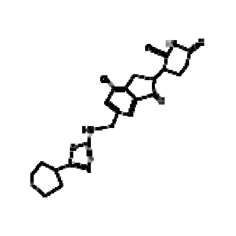 O=C1CCC(N2Cc3c(Cl)cc(CNc4nnc(C5CCCCC5)o4)cc3C2=O)C(=O)N1